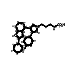 O=C(O)NCCCn1cc(-c2ncnc3oc(-c4ccccc4)cc23)c(-c2ccc(F)cc2)n1